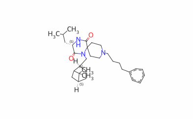 CC(C)C[C@@H]1NC(=O)C2(CCN(CCCCc3ccccc3)CC2)N(C[C@H]2CC[C@H]3CC2C3(C)C)C1=O